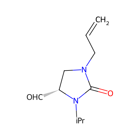 C=CCN1C[C@@H](C=O)N(C(C)C)C1=O